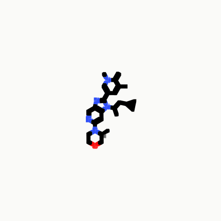 C=C1C(C)=CC(c2nc3cnc(N4CCOC[C@@H]4C)cc3n2C(C)CC2CC2)=CN1C